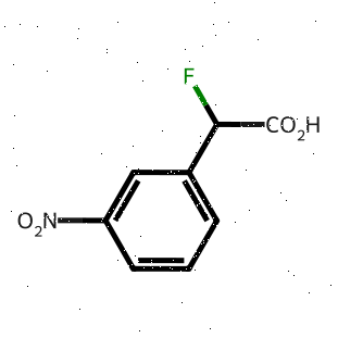 O=C(O)C(F)c1cccc([N+](=O)[O-])c1